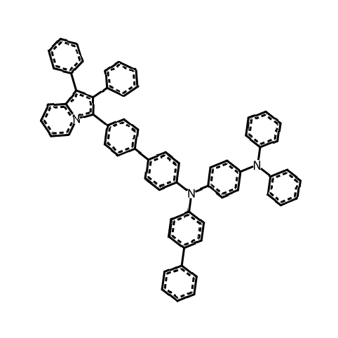 c1ccc(-c2ccc(N(c3ccc(-c4ccc(-c5c(-c6ccccc6)c(-c6ccccc6)c6ccccn56)cc4)cc3)c3ccc(N(c4ccccc4)c4ccccc4)cc3)cc2)cc1